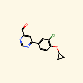 O=Cc1cc(-c2ccc(OC3CC3)c(Cl)c2)ncn1